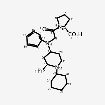 CCC[C@H]1C[C@@H](N(CC(=O)N2CCC[C@H]2C(=O)O)c2ccccc2)CCN1C1CCCCC1